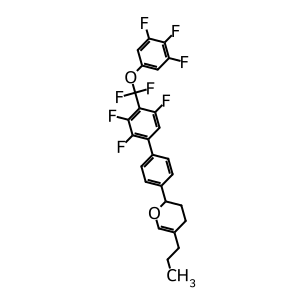 CCCC1=COC(c2ccc(-c3cc(F)c(C(F)(F)Oc4cc(F)c(F)c(F)c4)c(F)c3F)cc2)CC1